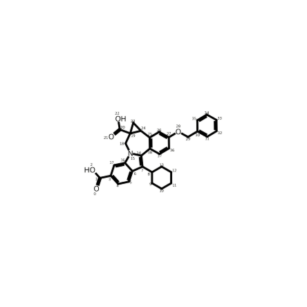 O=C(O)c1ccc2c(C3CCCCC3)c3n(c2c1)CC1(C(=O)O)CC1c1cc(OCc2ccccc2)ccc1-3